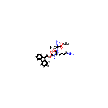 CC(C)(C)OC(=O)C(C)(N)NC(=O)[C@H](CCCCN)NC(=O)OCC1c2ccccc2-c2ccccc21